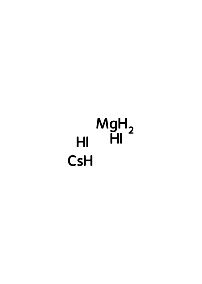 I.I.[CsH].[MgH2]